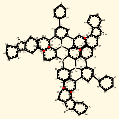 c1ccc(-c2cc(-c3ccccc3)c(N3c4cc(-c5ccc6oc7ccccc7c6c5)ccc4B4c5ccc(-c6ccc7oc8ccccc8c7c6)cc5N(c5c(-c6ccccc6)cc(-c6ccccc6)cc5-c5ccccc5)c5cc(-c6ccc7oc8ccccc8c7c6)cc3c54)c(-c3ccccc3)c2)cc1